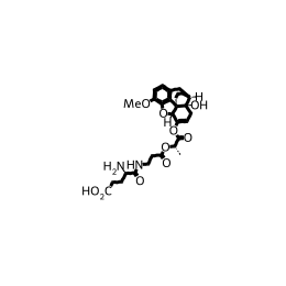 COc1ccc2c3c1O[C@@H]1C(OC(=O)[C@H](C)OC(=O)CCNC(=O)[C@@H](N)CCC(=O)O)=CC[C@]4(O)[C@@H](CCC[C@@]314)C2